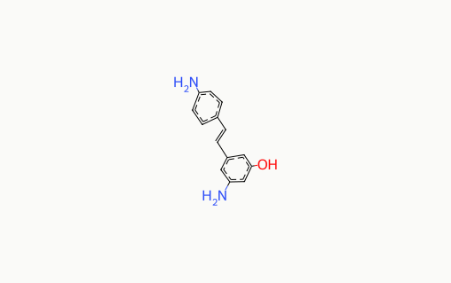 Nc1ccc(C=Cc2cc(N)cc(O)c2)cc1